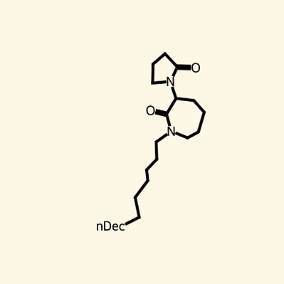 CCCCCCCCCCCCCCCCN1CCCCC(N2CCCC2=O)C1=O